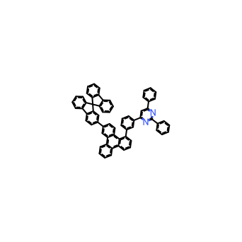 c1ccc(-c2cc(-c3cccc(-c4cccc5c6ccccc6c6cc(-c7ccc8c(c7)C7(c9ccccc9-c9ccccc97)c7ccccc7-8)ccc6c45)c3)nc(-c3ccccc3)n2)cc1